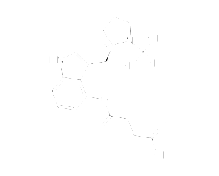 [2H]C([2H])([2H])N1CCC[C@@H]1Cc1c[nH]c2cccc(OC(=O)CCC(=O)O)c12